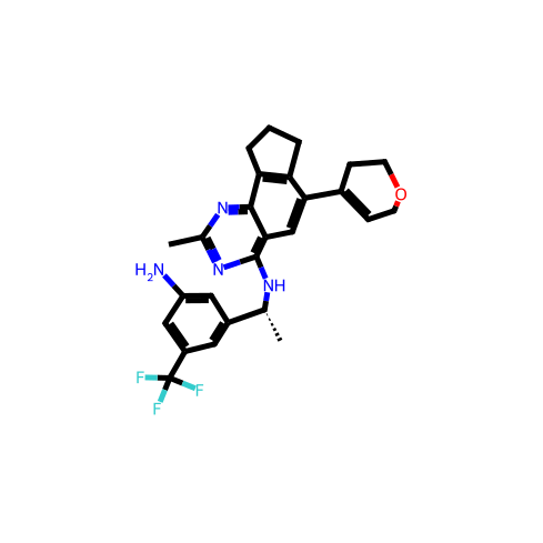 Cc1nc(N[C@H](C)c2cc(N)cc(C(F)(F)F)c2)c2cc(C3=CCOCC3)c3c(c2n1)CCC3